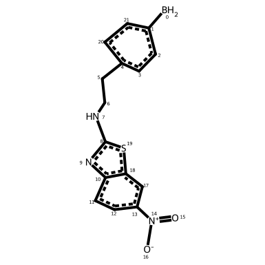 Bc1ccc(CCNc2nc3ccc([N+](=O)[O-])cc3s2)cc1